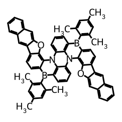 Cc1cc(C)c(B2c3cccc4c3N(c3cccc5c3N4c3c(ccc4c3oc3cc6ccccc6cc34)B5c3c(C)cc(C)cc3C)c3c2ccc2c3oc3cc4ccccc4cc32)c(C)c1